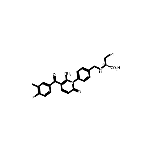 Cc1cc(C(=O)c2ccc(=O)n(-c3ccc(CN[C@@H](CC(C)C)C(=O)O)cc3)c2N)ccc1F